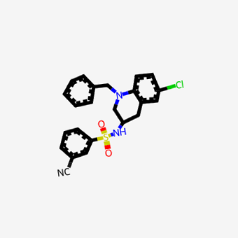 N#Cc1cccc(S(=O)(=O)NC2Cc3cc(Cl)ccc3N(Cc3ccccc3)C2)c1